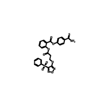 NC(=S)c1ccc(OC(=O)c2ccccc2OC(=O)CCOc2nonc2S(=O)(=O)c2ccccc2)cc1